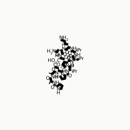 CC(C)C[C@H](NC(=O)[C@@H]1CCCN1C(=O)[C@@H](NC(=O)[C@@H]1CCCN1C(=O)[C@H](CCC(=O)O)NC(=O)[C@H](C)NC(=O)[C@H](C)NC(=O)[C@@H]1CCCN1)C(C)C)C(=O)N[C@H](C(=O)N[C@@H](CCCCN)C(=O)N[C@@H](CC(N)=O)C(=O)N[C@@H](CC(=O)O)C(=O)O)C(C)C